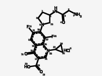 Cl.NCC(=O)NC1CCN(c2c(F)cc3c(=O)c(C(=O)O)cn(C4CC4)c3c2F)C1